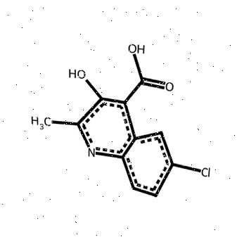 Cc1nc2ccc(Cl)cc2c(C(=O)O)c1O